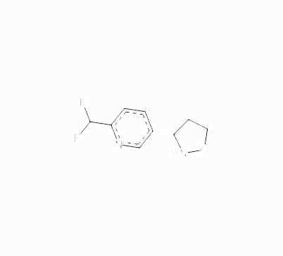 FC(F)c1ccc([C@@H]2CCON2)cn1